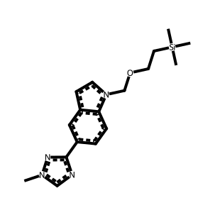 Cn1cnc(-c2ccc3c(ccn3COCC[Si](C)(C)C)c2)n1